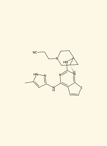 Cc1cc(Nc2nc(NC34CCN(CCC#N)C[C@@H]3C4)nc3sccc23)n[nH]1